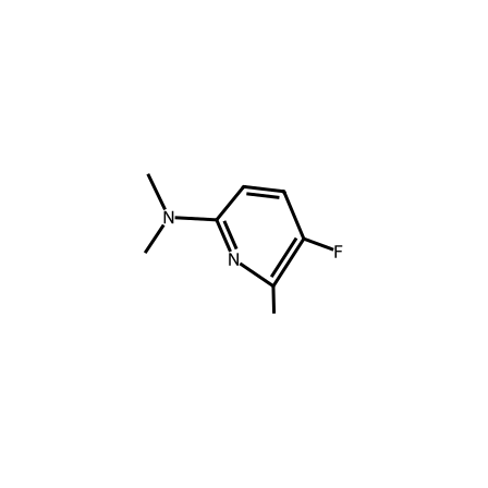 Cc1nc(N(C)C)ccc1F